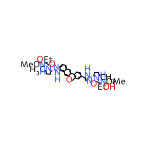 CC[C@H](NC(O)OC)C(=O)N1[C@@H](C)CC[C@H]1c1ncc(-c2ccc3c(c2)COc2cc4c(ccc5nc([C@@H]6CC[C@H](C)N6C(=O)[C@H](CC)NC(=O)OC)[nH]c54)cc2-3)[nH]1